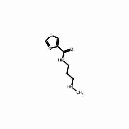 CNCCCNC(=O)c1cocn1